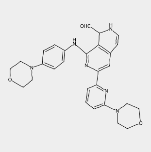 O=CC1NC=Cc2cc(-c3cccc(N4CCOCC4)n3)nc(Nc3ccc(N4CCOCC4)cc3)c21